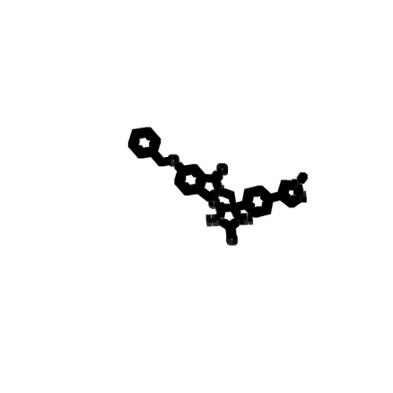 Cn1cc(-c2ccc([C@]3(CN4Cc5ccc(OCc6ccccc6)cc5C4=O)NC(=O)NC3=O)cc2)cn1